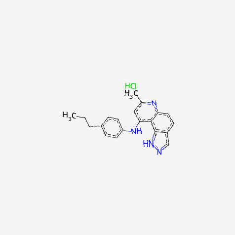 CCCc1ccc(Nc2cc(C)nc3ccc4cn[nH]c4c23)cc1.Cl